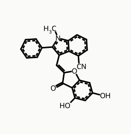 Cn1c(-c2ccccc2)c(C=C2Oc3cc(O)cc(O)c3C2=O)c2c(C#N)cccc21